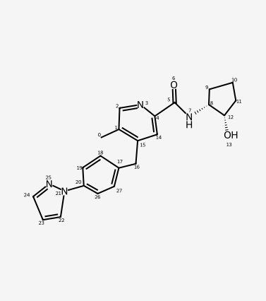 Cc1cnc(C(=O)N[C@@H]2CCC[C@@H]2O)cc1Cc1ccc(-n2cccn2)cc1